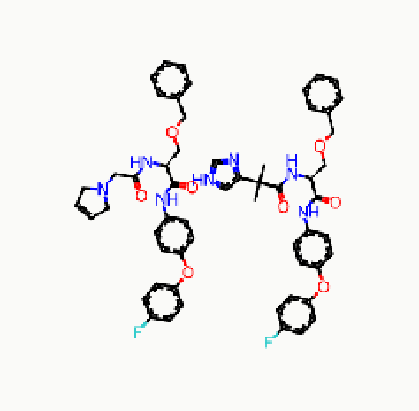 CC(C)(C(=O)N[C@@H](COCc1ccccc1)C(=O)Nc1ccc(Oc2ccc(F)cc2)cc1)c1c[nH]cn1.O=C(CN1CC=CC1)N[C@@H](COCc1ccccc1)C(=O)Nc1ccc(Oc2ccc(F)cc2)cc1